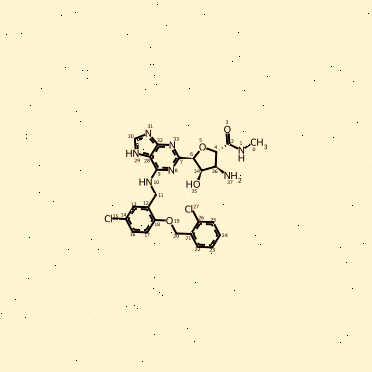 CNC(=O)[C@H]1O[C@H](c2nc(NCc3cc(Cl)ccc3OCc3ccccc3Cl)c3[nH]cnc3n2)[C@H](O)[C@@H]1N